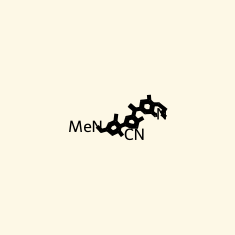 C=C(c1cc(C)c2c(c1)CN(C)CC2)c1cc(-c2c(C)cc(CNC)cc2C)c(C#N)cc1C